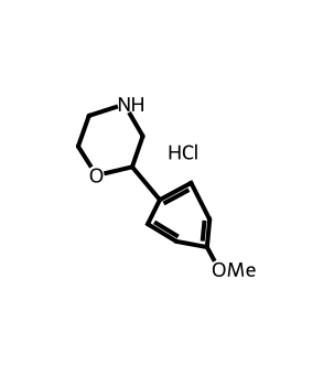 COc1ccc(C2CNCCO2)cc1.Cl